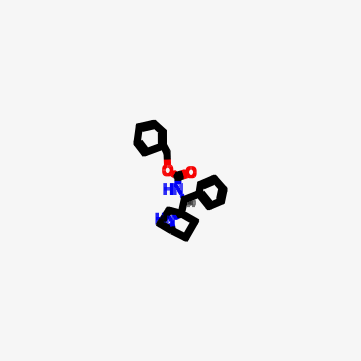 O=C(N[C@H](c1ccccc1)C12CCC(CC1)N2)OCc1ccccc1